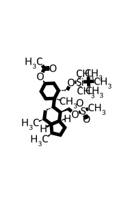 CC(=O)O[C@H]1CC[C@](C)([C@H]2C[C@@H](C)[C@@H]3[C@H](CC[C@@H]3C)[C@@H]2COS(C)(=O)=O)[C@@H](CO[Si](C)(C)C(C)(C)C)C1